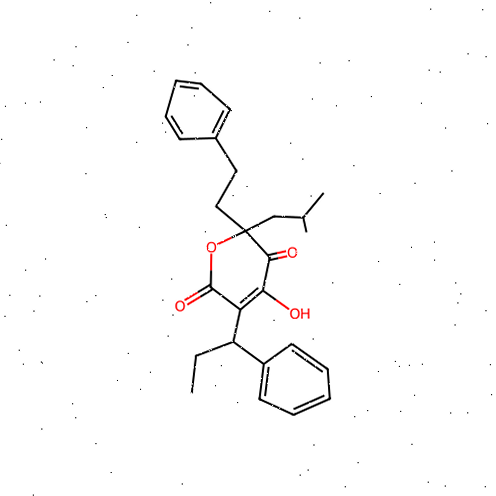 CCC(C1=C(O)C(=O)C(CCc2ccccc2)(CC(C)C)OC1=O)c1ccccc1